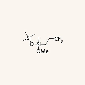 CO[Si](C)(CCC(F)(F)F)O[Si](C)(C)C